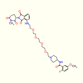 COc1ccc(F)c(C(=O)NC2CCN(CCOCCOCCOCCOCCNc3cccc4c3C(=O)N(C3CCC(=O)N(C)C3=O)C4=O)CC2)c1